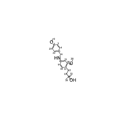 COc1ccc(CNc2ccc(CCC(C)(C)O)c(OC)c2)cc1